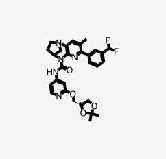 Cc1cc2c(nc1-c1cccc(C(F)F)c1)N(C(=O)Nc1ccnc(OC[C@@H]3COC(C)(C)O3)c1)C1CCN2C1